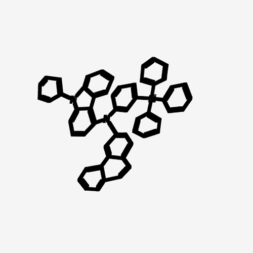 c1ccc(-n2c3ccccc3c3c(N(c4cccc([Si](c5ccccc5)(c5ccccc5)c5ccccc5)c4)c4ccc5ccc6ccccc6c5c4)cccc32)cc1